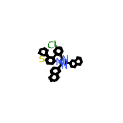 Clc1ccc(-c2nc(-c3ccc4ccccc4c3)nc(-c3ccc4ccccc4c3)n2)c(-c2cccc3sc4ccccc4c23)c1